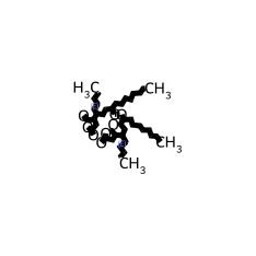 CCC/C=C/C(CCC(CCCCCCCC)OOC(CCCCCCCC)CCC(/C=C/CCC)C1CC(=O)OC1=O)C1CC(=O)OC1=O